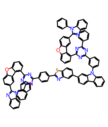 c1ccc(-c2nc(-c3ccc(-c4nc5cc(-c6ccc7c8ccccc8n(-c8cccc(-c9nc(-c%10ccccc%10)nc(-c%10cccc%11oc%12ccc(-c%13nc%14ccccc%14n%13-c%13ccccc%13)cc%12c%10%11)n9)c8)c7c6)ccc5s4)cc3)nc(-c3cccc4oc5ccc(-c6nc7ccccc7n6-c6ccccc6)cc5c34)n2)cc1